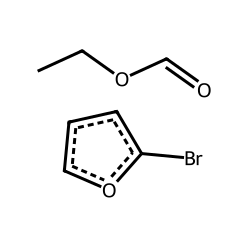 Brc1ccco1.CCOC=O